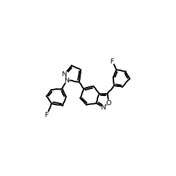 Fc1ccc(-n2nccc2-c2ccc3noc(-c4cccc(F)c4)c3c2)cc1